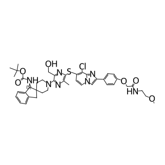 COCCNC(=O)COc1ccc(-c2cn3ccc(Sc4nc(CO)c(N5CCC6(CC5)Cc5ccccc5[C@H]6NC(=O)OC(C)(C)C)nc4C)c(Cl)c3n2)cc1